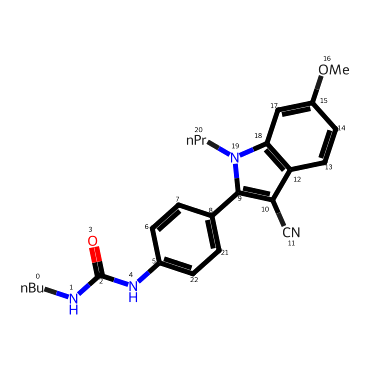 CCCCNC(=O)Nc1ccc(-c2c(C#N)c3ccc(OC)cc3n2CCC)cc1